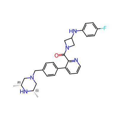 C[C@@H]1CN(Cc2ccc(-c3cccnc3C(=O)N3CC(Nc4ccc(F)cc4)C3)cc2)C[C@H](C)N1